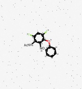 CC(=O)Nc1c(F)cc(F)c(Oc2ccccc2)c1[N+](=O)[O-]